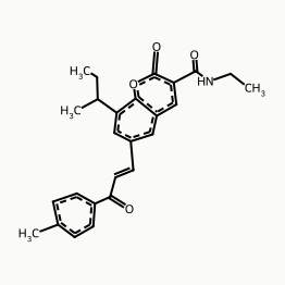 CCNC(=O)c1cc2cc(C=CC(=O)c3ccc(C)cc3)cc(C(C)CC)c2oc1=O